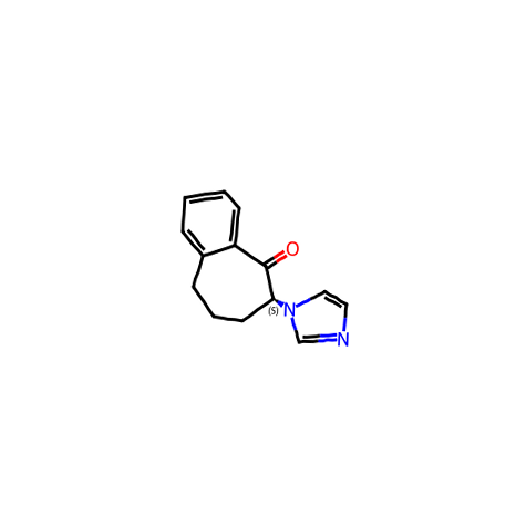 O=C1c2ccccc2CCC[C@@H]1n1ccnc1